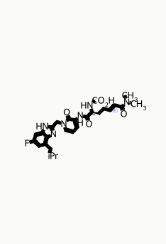 CC(C)Cc1cc(F)cc2[nH]c(Cn3cccc(NC(=O)[C@H](CC/C=C/C(=O)N(C)C)NC(=O)O)c3=O)nc12